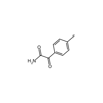 NC(=O)C(=O)c1ccc(F)cc1